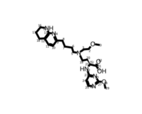 COCCN(CCCCc1ccc2c(n1)NCCC2)CC[C@H](Nc1ccnc(OC)n1)C(=O)O